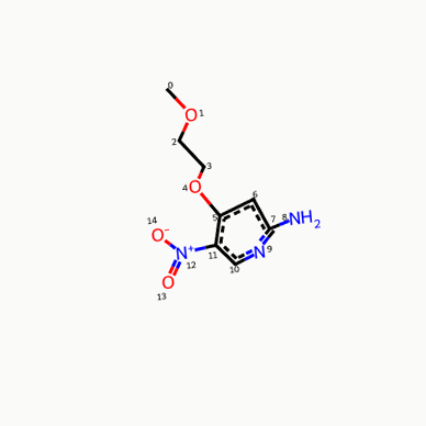 COCCOc1cc(N)ncc1[N+](=O)[O-]